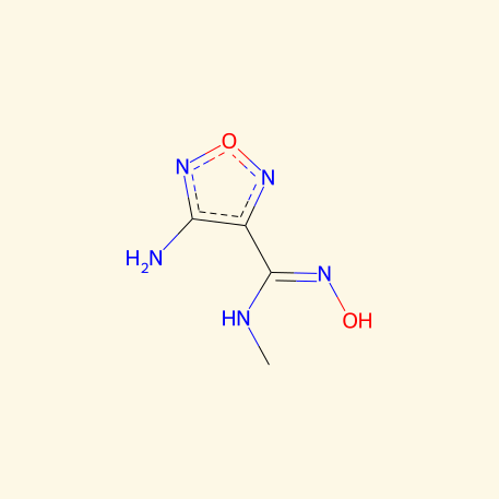 CNC(=NO)c1nonc1N